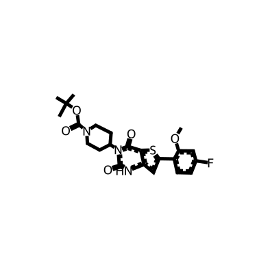 COc1cc(F)ccc1-c1cc2[nH]c(=O)n(C3CCN(C(=O)OC(C)(C)C)CC3)c(=O)c2s1